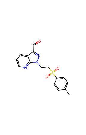 Cc1ccc(S(=O)(=O)CCn2nc(C=O)c3cccnc32)cc1